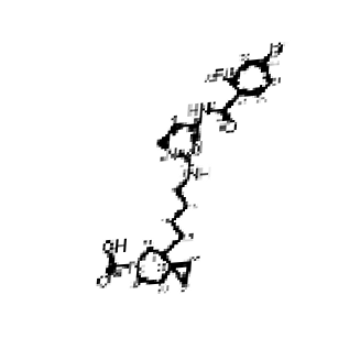 O=C(Nc1ccnc(NCCCCC2CN(C(=O)O)CCC23CC3)n1)c1ccc(Br)cc1F